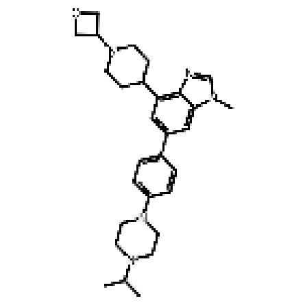 CC(C)N1CCN(c2ccc(-c3cc(C4CCN(C5COC5)CC4)c4ncn(C)c4c3)cc2)CC1